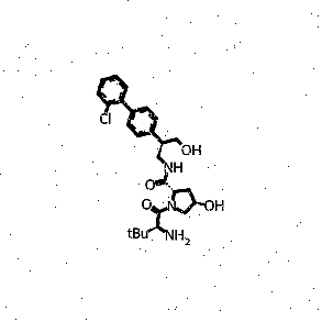 CC(C)(C)[C@H](N)C(=O)N1C[C@H](O)C[C@H]1C(=O)NC[C@H](CO)c1ccc(-c2ccccc2Cl)cc1